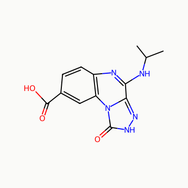 CC(C)Nc1nc2ccc(C(=O)O)cc2n2c(=O)[nH]nc12